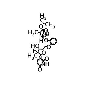 CC(C)OC(=O)C(C)N[P@@H](=O)Oc1ccccc1OC[C@H]1O[C@@H](n2ccc(=O)[nH]c2=O)[C@](C)(F)[C@@H]1O